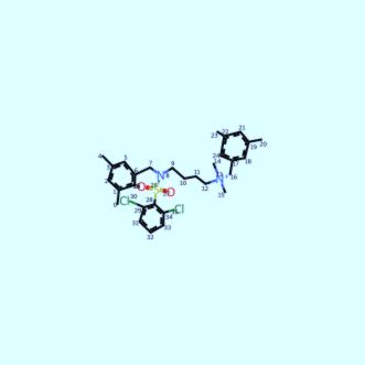 Cc1cc(C)cc(CN(CCCC[N+](C)(C)Cc2cc(C)cc(C)c2)S(=O)(=O)c2c(Cl)cccc2Cl)c1